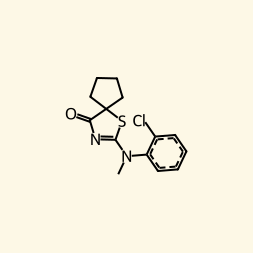 CN(C1=NC(=O)C2(CCCC2)S1)c1ccccc1Cl